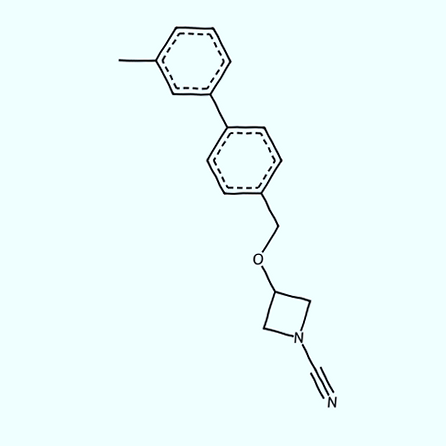 Cc1cccc(-c2ccc(COC3CN(C#N)C3)cc2)c1